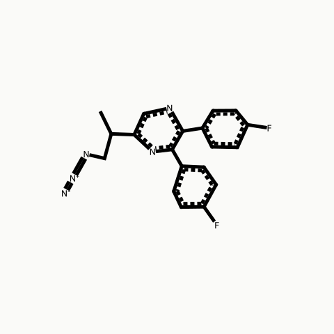 CC(CN=[N+]=[N-])c1cnc(-c2ccc(F)cc2)c(-c2ccc(F)cc2)n1